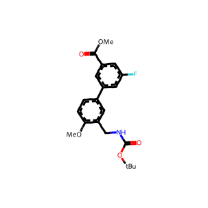 COC(=O)c1cc(F)cc(-c2ccc(OC)c(CNC(=O)OC(C)(C)C)c2)c1